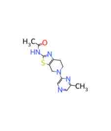 CC(=O)Nc1nc2c(s1)CN(c1cncc(C)n1)CC2